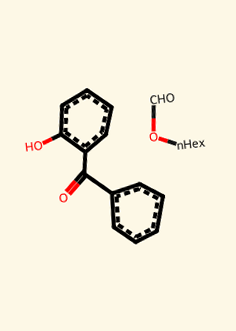 CCCCCCOC=O.O=C(c1ccccc1)c1ccccc1O